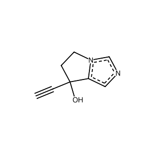 C#CC1(O)CCn2cncc21